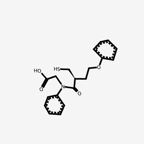 O=C(O)CN(C(=O)[C@@H](CS)CCOc1ccccc1)c1ccccc1